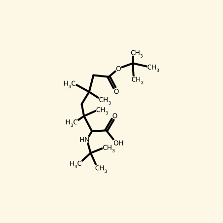 CC(C)(CC(=O)OC(C)(C)C)CC(C)(C)C(NC(C)(C)C)C(=O)O